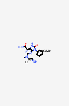 CC[C@@H](C=N)N(C)c1nc(C(N)=O)c2[nH]c(=O)n(-c3cccc(OC)c3)c2n1